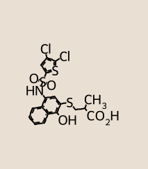 CC(CSc1cc(NS(=O)(=O)c2cc(Cl)c(Cl)s2)c2ccccc2c1O)C(=O)O